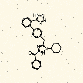 O=C(c1ccccc1)c1nc(Cc2ccc(-c3ccccc3-c3nnn[nH]3)cc2)n(C2CCCCC2)n1